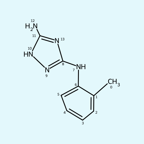 Cc1ccccc1Nc1n[nH]c(N)n1